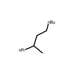 [CH2]C(CCC)CCCCCC